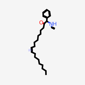 C=CNC(C(=O)CCCCCCC/C=C\CCCCCCCC)c1ccccc1